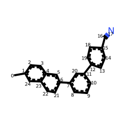 Cc1ccc2cc(-c3cccc(-c4ccc(C#N)cc4)c3)ccc2c1